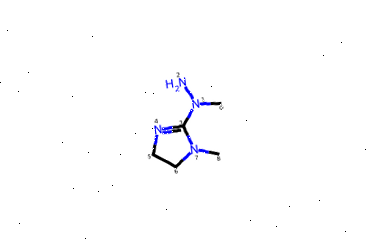 CN(N)C1=NCCN1C